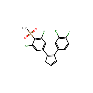 CS(=O)(=O)c1c(F)cc(C2=C(c3ccc(F)c(F)c3)C=CC2)cc1F